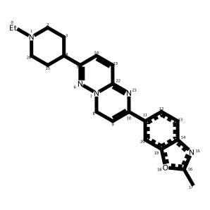 CCN1CCC(C2=NN3CC=C(c4ccc5nc(C)oc5c4)N=C3C=C2)CC1